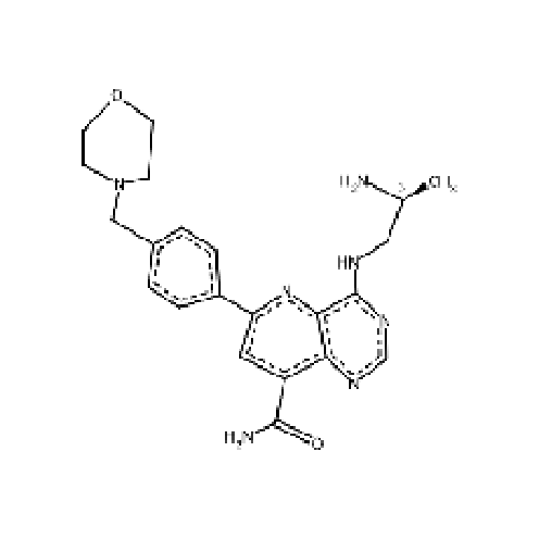 C[C@H](N)CNc1ncnc2c(C(N)=O)cc(-c3ccc(CN4CCOCC4)cc3)nc12